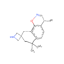 CC(C)C1C=NOc2c1ccc1c2CC2(CNC2)CC1(C)C